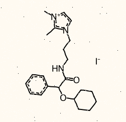 Cc1n(CCCNC(=O)C(OC2CCCCC2)c2ccccc2)cc[n+]1C.[I-]